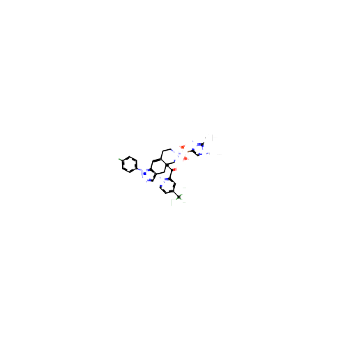 Cc1nc(S(=O)(=O)N2CCC3=Cc4c(cnn4-c4ccc(F)cc4)CC3(C(=O)c3cc(C(F)(F)F)ccn3)C2)cn1C